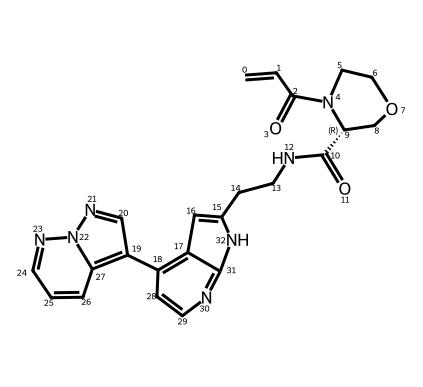 C=CC(=O)N1CCOC[C@@H]1C(=O)NCCc1cc2c(-c3cnn4ncccc34)ccnc2[nH]1